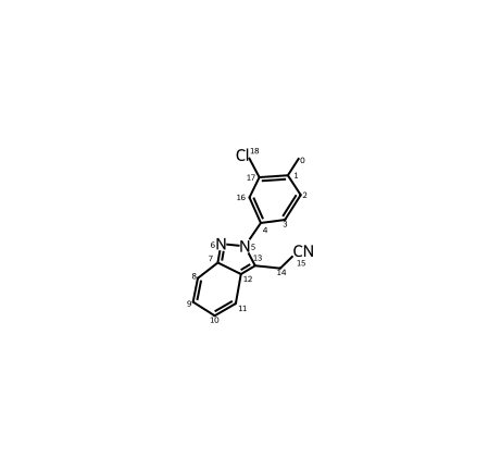 Cc1ccc(-n2nc3ccccc3c2CC#N)cc1Cl